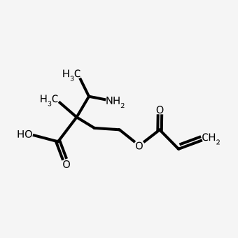 C=CC(=O)OCCC(C)(C(=O)O)C(C)N